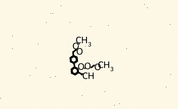 C#Cc1cccc(-c2ccc(CC(=O)OCC)cc2)c1OCOCCOC